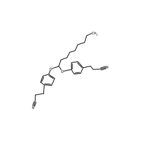 CCCCCCCCC(Oc1ccc(CCC#N)cc1)Oc1ccc(CCC#N)cc1